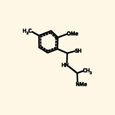 CNC(C)NC(S)c1ccc(C)cc1OC